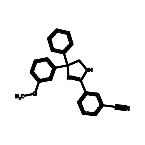 COc1cccc(C2(c3ccccc3)CNC(c3cccc(C#N)c3)=N2)c1